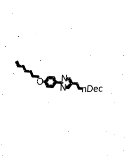 C=CCCCCCOc1ccc(-c2ncc(CCCCCCCCCCCC)cn2)cc1